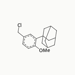 COc1ccc(CCl)cc1C12CC3CC(CC(C3)C1)C2